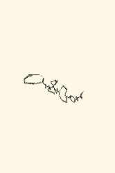 O=c1n(-c2ccccc2)ccn1C1CCC(O)CC1